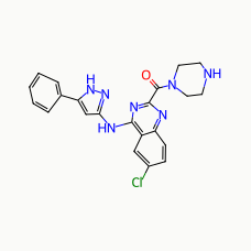 O=C(c1nc(Nc2cc(-c3ccccc3)[nH]n2)c2cc(Cl)ccc2n1)N1CCNCC1